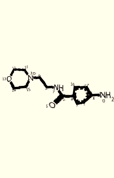 Nc1ccc(C(=O)NCCN2CCOCC2)cc1